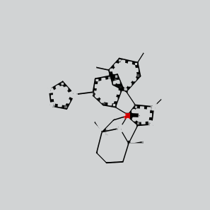 Cn1nc2c(c1-c1cc(F)cc(F)c1)C[C@H]1CCC[C@@H]2N1C(=O)c1cccc(-n2cnnc2)c1